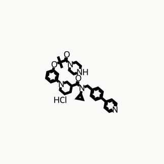 CC(C)(Oc1cccc(N2CCCC(C(=O)N(Cc3ccc(-c4ccncc4)cc3)C3CC3)C2)c1)C(=O)N1CCNCC1.Cl